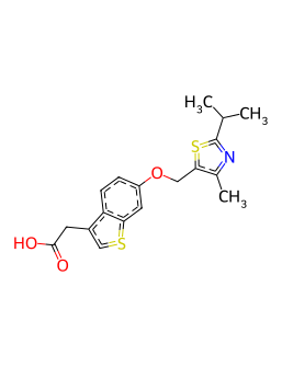 Cc1nc(C(C)C)sc1COc1ccc2c(CC(=O)O)csc2c1